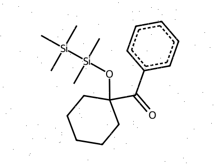 C[Si](C)(C)[Si](C)(C)OC1(C(=O)c2ccccc2)CCCCC1